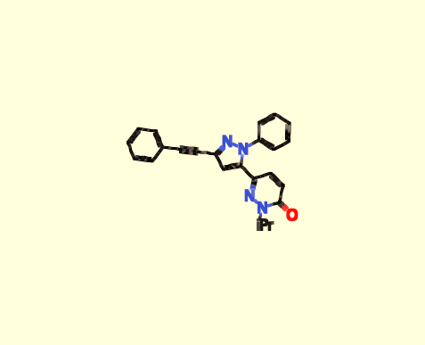 CC(C)n1nc(-c2cc(C#Cc3ccccc3)nn2-c2ccccc2)ccc1=O